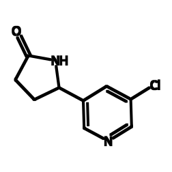 O=C1CCC(c2cncc(Cl)c2)N1